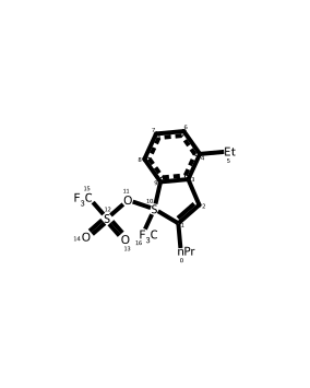 CCCC1=Cc2c(CC)cccc2S1(OS(=O)(=O)C(F)(F)F)C(F)(F)F